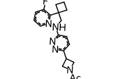 CC(=O)N1CC(c2ccc(NCC3(c4ncccc4F)CCC3)nn2)C1